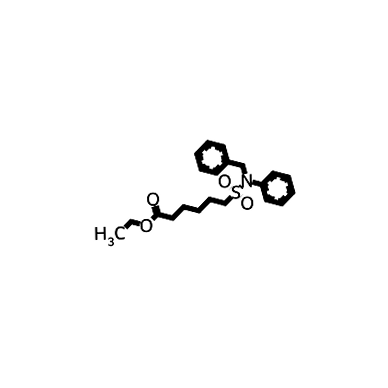 CCOC(=O)CCCCCS(=O)(=O)N(Cc1ccccc1)c1ccccc1